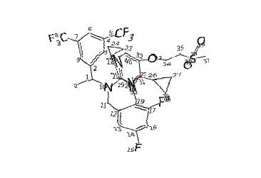 CC(c1cc(C(F)(F)F)cc(C(F)(F)F)c1)N(Cc1cc(F)cc(F)c1N(CC1CC1)CC1CC1)c1ncc(OCCS(C)(=O)=O)cn1